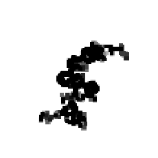 CC(C)C[C@@H](CO)NC(=O)c1c(-c2ccsc2)nc2c(-c3ncc(-c4ccc(S(C)(=O)=O)cc4)[nH]3)cccn12